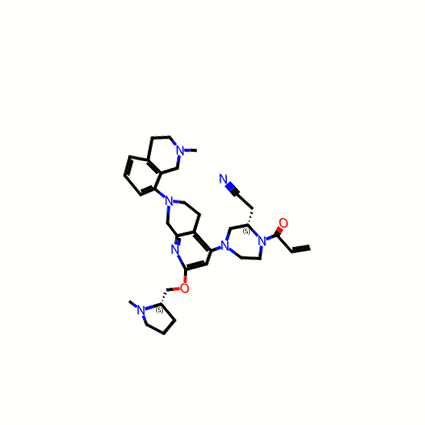 C=CC(=O)N1CCN(c2cc(OC[C@@H]3CCCN3C)nc3c2CCN(c2cccc4c2CN(C)CC4)C3)C[C@@H]1CC#N